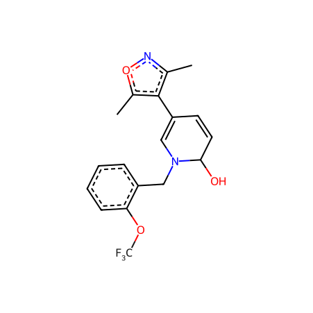 Cc1noc(C)c1C1=CN(Cc2ccccc2OC(F)(F)F)C(O)C=C1